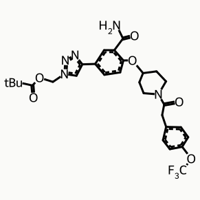 CC(C)(C)C(=O)OCn1cc(-c2ccc(OC3CCN(C(=O)Cc4ccc(OC(F)(F)F)cc4)CC3)c(C(N)=O)c2)nn1